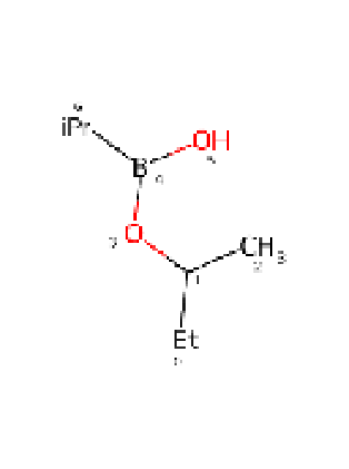 CCC(C)OB(O)C(C)C